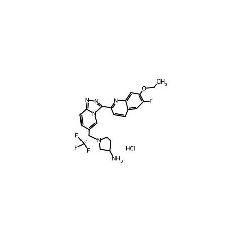 CCOc1cc2nc(-c3nnc4ccc([C@H](N5CCC(N)C5)C(F)(F)F)cn34)ccc2cc1F.Cl